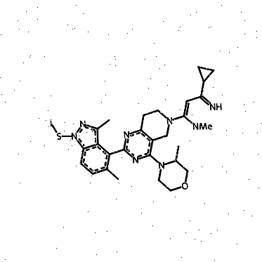 CN/C(=C\C(=N)C1CC1)N1CCc2nc(-c3c(C)ccc4c3c(C)nn4SI)nc(N3CCOCC3C)c2C1